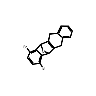 Brc1ccc(Br)c2c1C1OC2C2=C1Cc1ccccc1C2